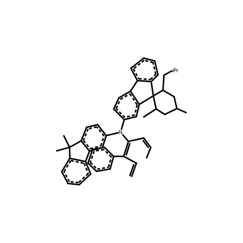 C=C/C(=C(\C=C/C)N(c1ccc2c(c1)-c1ccccc1C2(C)C)c1ccc2c(c1)C1(c3ccccc3-2)C(C)CC(C)CC1CC(C)C)c1ccccc1